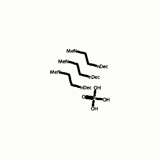 CCCCCCCCCCCCNC.CCCCCCCCCCCCNC.CCCCCCCCCCCCNC.O=P(O)(O)O